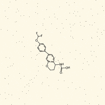 O=C(O)NC1CCOc2cc(-c3ccc(OC(F)F)cc3)ccc21